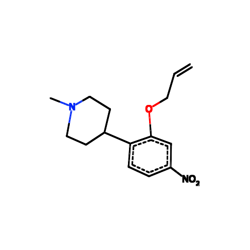 C=CCOc1cc([N+](=O)[O-])ccc1C1CCN(C)CC1